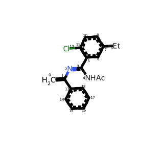 C=C(/N=C(\NC(C)=O)c1cc(CC)ccc1Cl)c1ccccc1